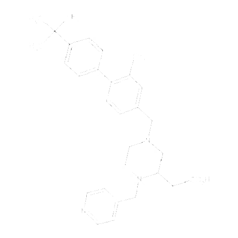 Cc1cc(CN2CCN(Cc3ccncc3)C(CC(=O)O)C2)ccc1-c1ccc(C(C)(C)C(F)(F)F)cc1